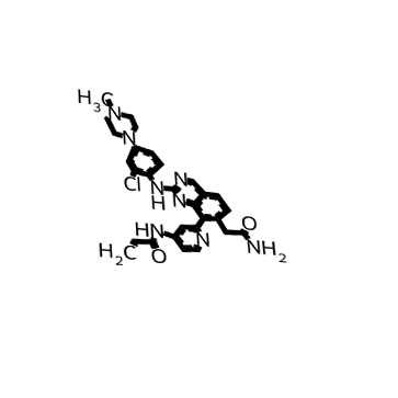 C=CC(=O)Nc1ccnc(-c2c(CC(N)=O)ccc3cnc(Nc4ccc(N5CCN(C)CC5)cc4Cl)nc23)c1